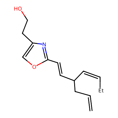 C=CCC(/C=C\CC)/C=C/c1nc(CCO)co1